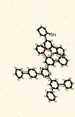 Sc1ccccc1-c1ccc2c(c1)c1ccccc1n2-c1c(-c2ccccc2)cc(-c2nc(-c3ccc(-c4ccccc4)cc3)nc(-c3cc(-c4ccccc4)cc(-c4ccccc4)c3)n2)cc1-c1ccccc1